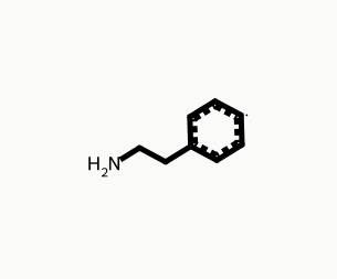 NCCc1cc[c]cc1